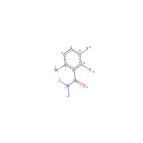 CN(C)C(=O)c1c(Br)ccc(F)c1F